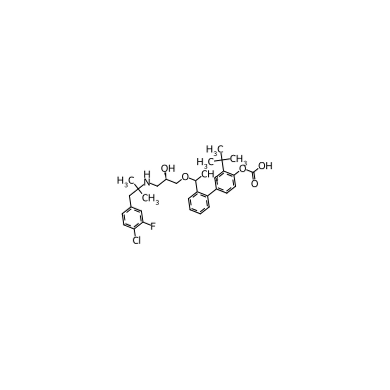 CC(OC[C@H](O)CNC(C)(C)Cc1ccc(Cl)c(F)c1)c1ccccc1-c1ccc(OC(=O)O)c(C(C)(C)C)c1